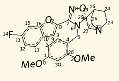 COc1ccc(CN2C(c3cc4ccc(F)cc4o3)=NO[C@]23CN2CCC3CC2)c(OC)c1